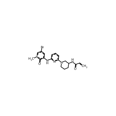 C=CC(=O)NC1CCCN(c2cccc(Nc3cc(Br)cn(C)c3=O)n2)C1